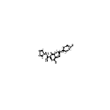 Cc1cc(C(=O)NC2CCCC2)cc2sc(C3CCN(C)CC3)nc12